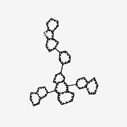 c1cc(-c2ccc3c(-c4ccc5ccccc5c4)c4ccccc4c(-c4ccc5ccccc5c4)c3c2)cc(-c2ccc3sc4ccccc4c3c2)c1